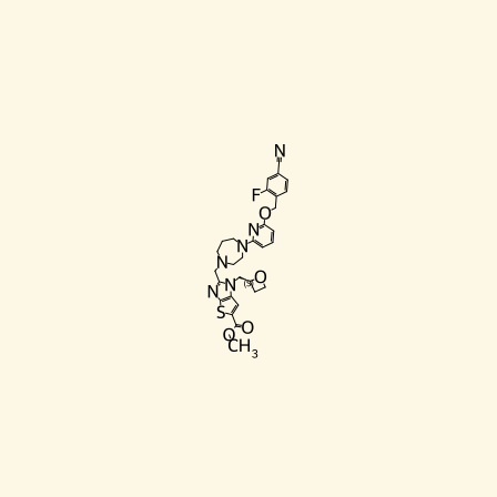 COC(=O)c1cc2c(nc(CN3CCCN(c4cccc(OCc5ccc(C#N)cc5F)n4)CC3)n2C[C@@H]2CCO2)s1